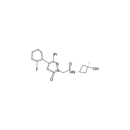 CC(C)c1nn(CC(=O)N[C@H]2C[C@](C)(O)C2)c(=O)cc1-c1ccccc1F